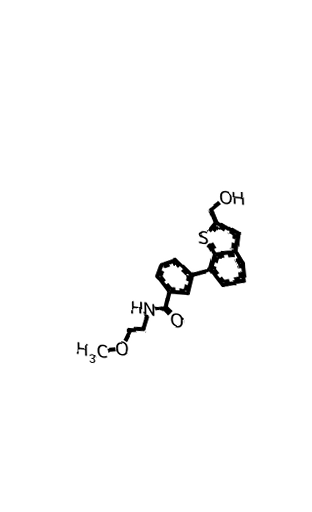 COCCNC(=O)c1cccc(-c2cccc3cc(CO)sc23)c1